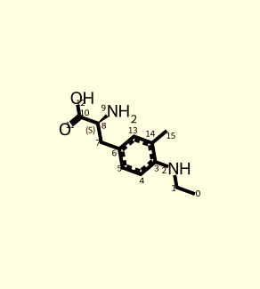 CCNc1ccc(C[C@H](N)C(=O)O)cc1C